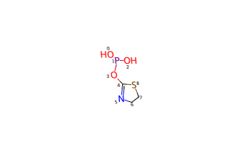 OP(O)OC1=NCCS1